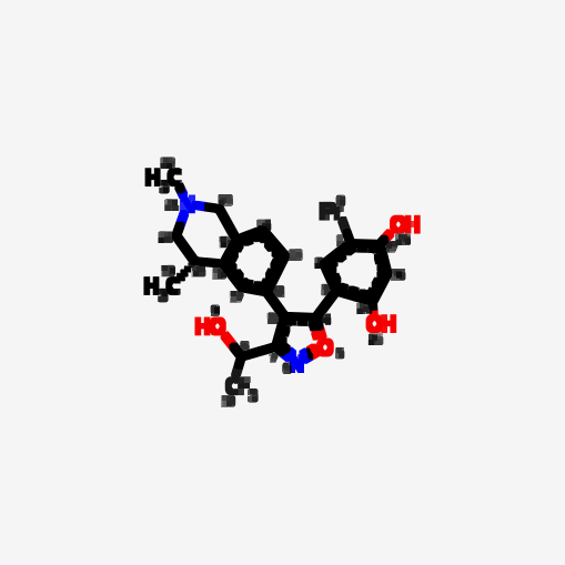 CC(C)c1cc(-c2onc(C(O)C(F)(F)F)c2-c2ccc3c(c2)[C@H](C)CN(C)C3)c(O)cc1O